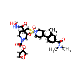 Cc1cc(C(=O)N(C)C)ccc1C1=CCN(S(=O)(=O)CC2(C(=O)NO)CCN(C(=O)O[C@H]3CCOC3)CC2)CC1